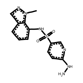 Cn1ncc2cccc(NS(=O)(=O)c3ccc(NN)nc3)c21